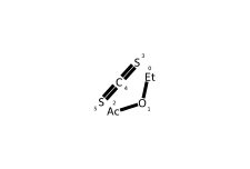 CCOC(C)=O.S=C=S